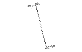 CCCCC(CCCCCCCCCCCCCCCCCCCCCCC(CCCC)C(=O)O)C(=O)O